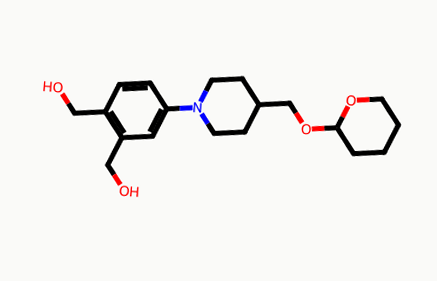 OCc1ccc(N2CCC(COC3CCCCO3)CC2)cc1CO